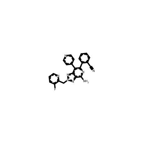 N#Cc1ccccc1-c1nc(N)c2nn(Cc3ncccc3F)nc2c1-c1ccncc1